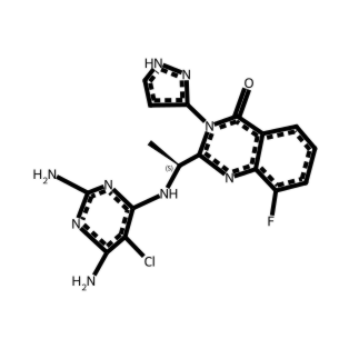 C[C@H](Nc1nc(N)nc(N)c1Cl)c1nc2c(F)cccc2c(=O)n1-c1cc[nH]n1